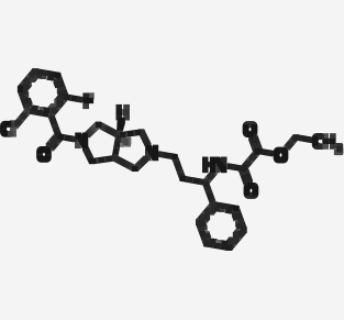 CCOC(=O)C(=O)NC(CCN1CC2CN(C(=O)c3c(F)cccc3Cl)C[C@@H]2C1)c1ccccc1